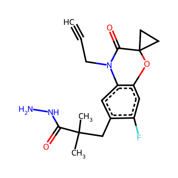 C#CCN1C(=O)C2(CC2)Oc2cc(F)c(CC(C)(C)C(=O)NN)cc21